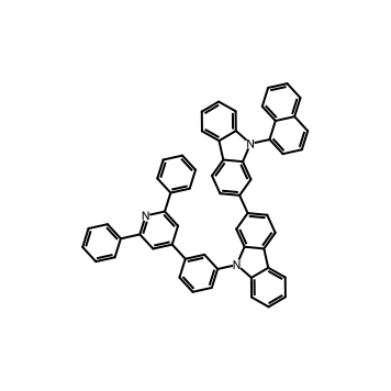 c1ccc(-c2cc(-c3cccc(-n4c5ccccc5c5ccc(-c6ccc7c8ccccc8n(-c8cccc9ccccc89)c7c6)cc54)c3)cc(-c3ccccc3)n2)cc1